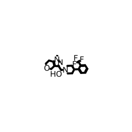 Cn1nc(C(O)N2CCC(c3ccccc3C(F)(F)F)CC2)c2c1CCOC2